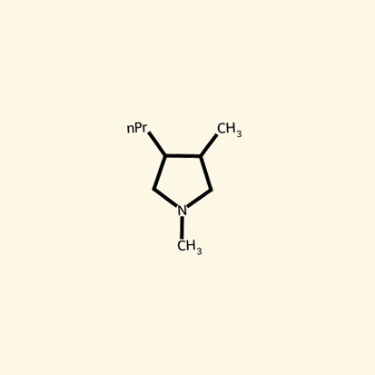 CCCC1CN(C)CC1C